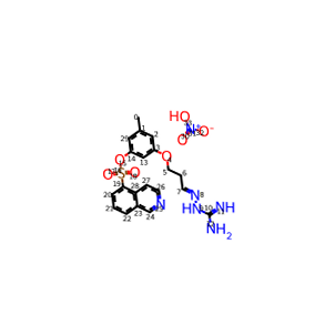 Cc1cc(OCCC=NNC(=N)N)cc(OS(=O)(=O)c2cccc3cnccc23)c1.O=[N+]([O-])O